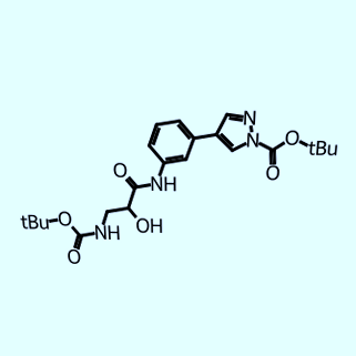 CC(C)(C)OC(=O)NCC(O)C(=O)Nc1cccc(-c2cnn(C(=O)OC(C)(C)C)c2)c1